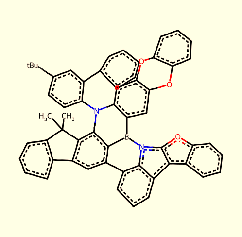 CC(C)(C)c1ccc(N2c3cc4c(cc3B3c5c(cc6c(c52)C(C)(C)c2ccccc2-6)-c2cccc5c6c7ccccc7oc6n3c25)Oc2ccccc2O4)c(-c2ccccc2)c1